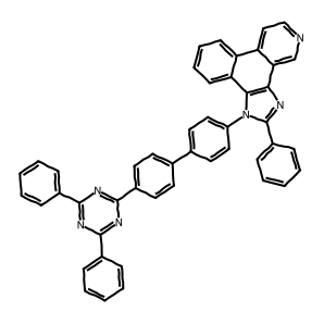 c1ccc(-c2nc(-c3ccccc3)nc(-c3ccc(-c4ccc(-n5c(-c6ccccc6)nc6c7cnccc7c7ccccc7c65)cc4)cc3)n2)cc1